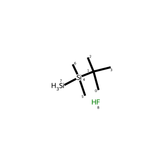 CC(C)(C)[Si](C)(C)[SiH3].F